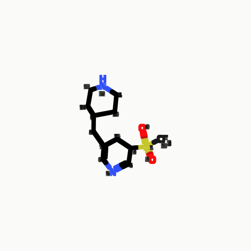 O=S(=O)(C1C=NC=C(CC2CCNCC2)C1)C(F)(F)F